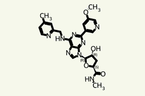 CNC(=O)[C@@H]1C[C@@H](O)[C@H](n2cnc3c(NCc4cc(C)ccn4)nc(-c4cncc(OC)c4)nc32)O1